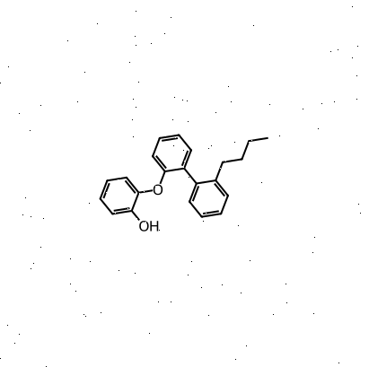 CCCCc1ccccc1-c1ccccc1Oc1ccccc1O